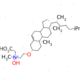 CC(C)CCC[C@@H](C)[C@H]1CCC2C3CC=C4C[C@@H](OCC[N+](C)(O)CC(=O)O)CC[C@]4(C)C3CC[C@@]21C